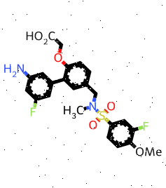 COc1ccc(S(=O)(=O)N(C)Cc2ccc(OCC(=O)O)c(-c3cc(N)cc(F)c3)c2)cc1F